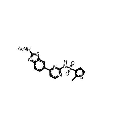 CC(=O)Nc1nc2ccc(-c3ccnc(NS(=O)(=O)c4ccsc4C)n3)cc2s1